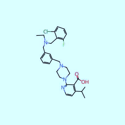 CCN(Cc1cccc(CN2CCN(c3nccc(C(C)C)c3C(=O)O)CC2)c1)Cc1c(F)cccc1Cl